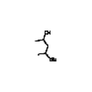 CC(C#N)CC(C)C(C)(C)C